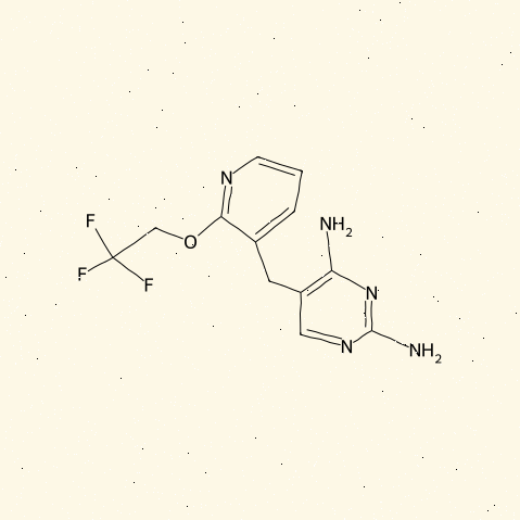 Nc1ncc(Cc2cccnc2OCC(F)(F)F)c(N)n1